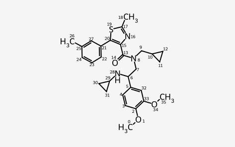 COc1ccc(C(CN(CC2CC2)C(=O)c2nc(C)sc2-c2cccc(C)c2)NC2CC2)cc1OC